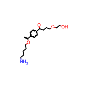 C=C(OCCCCCN)c1ccc(C(=O)CCCOCCO)cc1